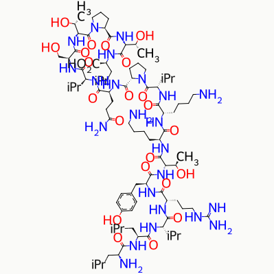 CC(C)C[C@H](NC(=O)[C@@H](NC(=O)[C@@H]1CCCN1C(=O)[C@@H](NC(=O)[C@H](CO)NC(=O)[C@@H](NC(=O)[C@H](CCC(N)=O)NC(=O)[C@@H]1CCCN1C(=O)[C@@H](NC(=O)[C@H](CCCCN)NC(=O)[C@H](CCCCN)NC(=O)[C@@H](NC(=O)[C@H](Cc1ccc(O)cc1)NC(=O)[C@H](CCCNC(=N)N)NC(=O)[C@@H](NC(=O)[C@H](CC(C)C)NC(=O)[C@@H](N)CC(C)C)C(C)C)[C@@H](C)O)C(C)C)C(C)C)[C@@H](C)O)[C@@H](C)O)C(=O)O